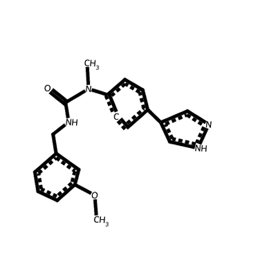 COc1cccc(CNC(=O)N(C)c2ccc(-c3cn[nH]c3)cc2)c1